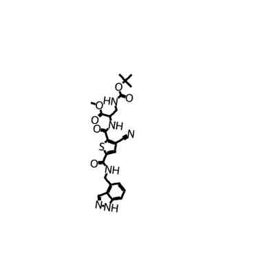 COC(=O)C(CNC(=O)OC(C)(C)C)NC(=O)c1sc(C(=O)NCc2cccc3[nH]ncc23)cc1C#N